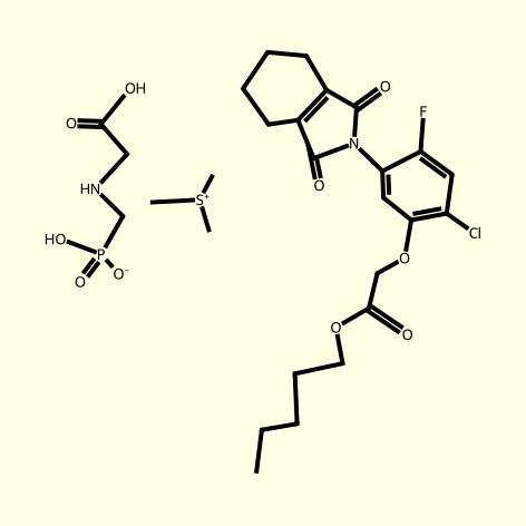 CCCCCOC(=O)COc1cc(N2C(=O)C3=C(CCCC3)C2=O)c(F)cc1Cl.C[S+](C)C.O=C(O)CNCP(=O)([O-])O